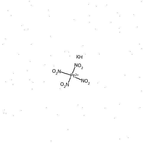 O=[N+]([O-])[Pt+2]([N+](=O)[O-])([N+](=O)[O-])[N+](=O)[O-].[KH]